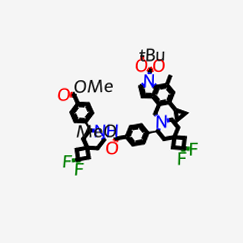 COC(=O)c1ccc([C@@H]2CC3(CCN2)CC(F)(F)C3)cc1.COC(=O)c1ccc([C@@H]2CC3(CCN2Cc2c(C4CC4)cc(C)c4c2ccn4C(=O)OC(C)(C)C)CC(F)(F)C3)cc1